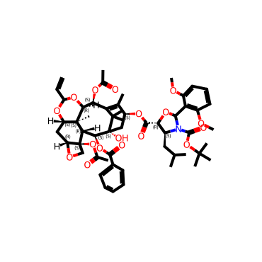 C=CC1O[C@H]2C[C@H]3OC[C@@]3(OC(C)=O)[C@H]3[C@H](OC(=O)c4ccccc4)[C@]4(O)C[C@H](OC(=O)[C@@H]5OC(c6c(OC)cccc6OC)N(C(=O)OC(C)(C)C)[C@H]5CC(C)C)C(C)=C([C@H](OC(C)=O)[C@H](O1)[C@]23C)C4(C)C